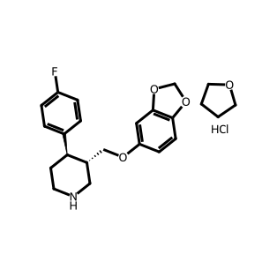 C1CCOC1.Cl.Fc1ccc([C@@H]2CCNC[C@H]2COc2ccc3c(c2)OCO3)cc1